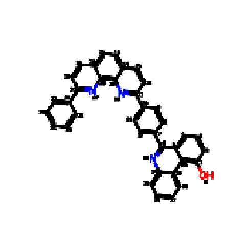 Oc1cccc2c(-c3ccc(-c4ccc5ccc6ccc(-c7ccccc7)nc6c5n4)cc3)nc3ccccc3c12